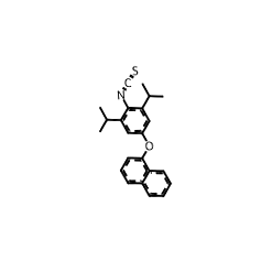 CC(C)c1cc(Oc2cccc3ccccc23)cc(C(C)C)c1N=C=S